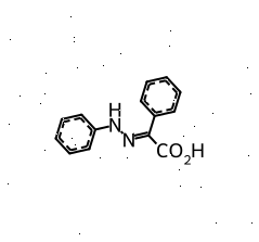 O=C(O)/C(=N/Nc1ccccc1)c1ccccc1